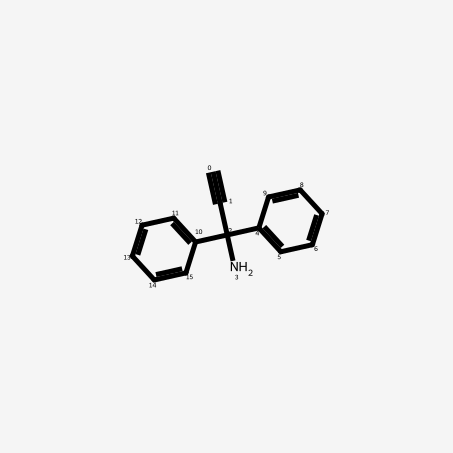 C#CC(N)(c1ccccc1)c1ccccc1